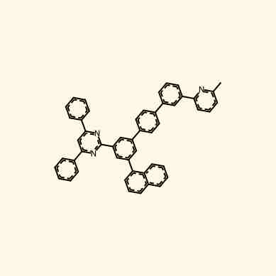 Cc1cccc(-c2cccc(-c3ccc(-c4cc(-c5nc(-c6ccccc6)cc(-c6ccccc6)n5)cc(-c5cccc6ccccc56)c4)cc3)c2)n1